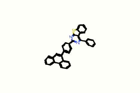 c1ccc(-c2nc(-c3ccc(-c4cc5ccccc5c5ccccc45)cc3)nc3sc4ccccc4c23)cc1